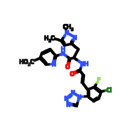 Cc1cc(CC(NC(=O)C=Cc2c(-n3cnnn3)ccc(Cl)c2F)C(=O)Nc2ccc(C(=O)O)cn2)nn1C